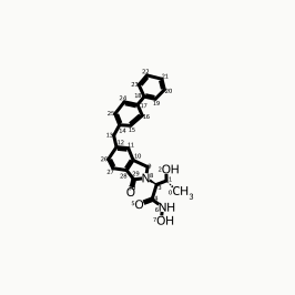 C[C@@H](O)[C@@H](C(=O)NO)N1Cc2cc(Cc3ccc(-c4ccccc4)cc3)ccc2C1=O